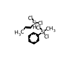 CC=C[SiH](Cl)Cl.C[Si](Cl)(Cl)c1ccccc1